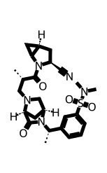 C[C@@H](CN1C[C@@H]2C[C@H]1C(=O)N2[C@@H](C)c1cccc(S(=O)(=O)N(C)C)c1)C(=O)N1C2C[C@H]2C[C@H]1C#N